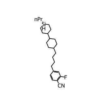 CCC[SiH]1CCC(C2CCC(CCCCc3ccc(C#N)c(F)c3)CC2)CC1